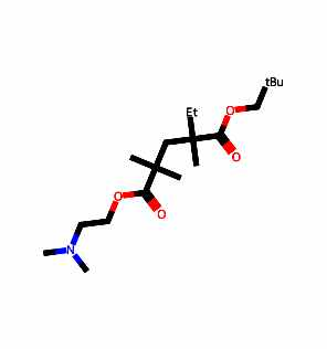 CCC(C)(CC(C)(C)C(=O)OCCN(C)C)C(=O)OCC(C)(C)C